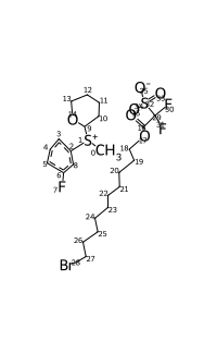 C[S+](c1cccc(F)c1)C1CCCCO1.O=C(OCCCCCCCCCCBr)C(F)(F)S(=O)(=O)[O-]